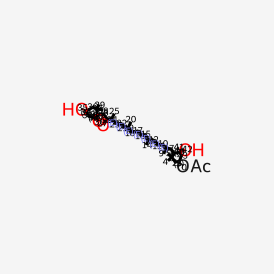 CC(=O)O[C@H]1CC(C)(C)C(C/C(C)=C/C=C/C(C)=C/C=C/C=C(C)/C=C/C=C(\C)C(=O)C[C@@]23O[C@]2(C)C[C@@H](O)CC3(C)C)[C@](C)(O)C1